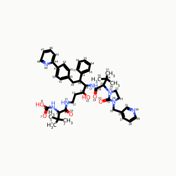 CC(C)(C)C(NC(=O)O)C(=O)NCCC(O)C(NC(=O)C(N1CCN(Cc2cccnc2)C1=O)C(C)(C)C)C(Cc1ccc(-c2ccccn2)cc1)c1ccccc1